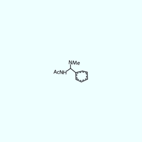 [CH2]NC(NC(C)=O)c1ccccc1